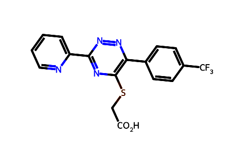 O=C(O)CSc1nc(-c2ccccn2)nnc1-c1ccc(C(F)(F)F)cc1